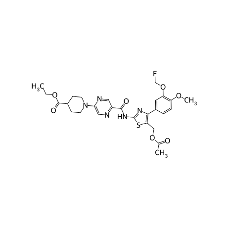 CCOC(=O)C1CCN(c2cnc(C(=O)Nc3nc(-c4ccc(OC)c(OCF)c4)c(COC(C)=O)s3)cn2)CC1